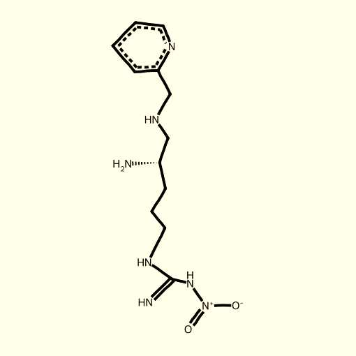 N=C(NCCC[C@H](N)CNCc1ccccn1)N[N+](=O)[O-]